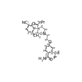 CCCC(=O)C1(c2cc(C#N)ccc2C)CCN(CCOc2ccc(C(N)=O)c(C(F)F)c2)CC1